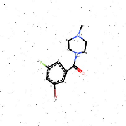 CN1CCN(C(=O)c2cc(F)cc(Br)c2)CC1